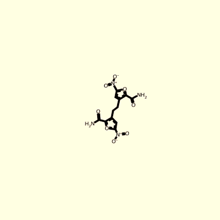 NC(=O)c1oc([N+](=O)[O-])cc1CCc1cc([N+](=O)[O-])oc1C(N)=O